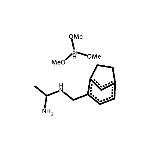 CC(N)NCc1ccc2cc1CC2.CO[SiH](OC)OC